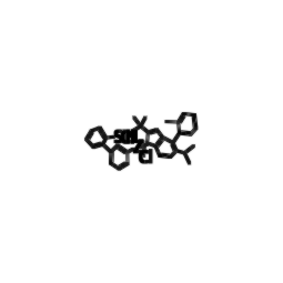 Cc1ccccc1-c1c(C(C)C)ccc2c1C=C(C(C)(C)C)[CH]2[Zr]([Cl])([Cl])[c]1cccc2c1[SiH2]c1ccccc1-2